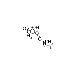 CN(C)CCOCCO[C@H]1CC[C@]2(C)[C@@H](C=O)CC[C@]2(O)C1